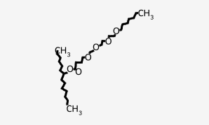 CCCCCCCCC(CCCCCC)COC(=O)CCCOCCOCCOCCOCCCCCCC